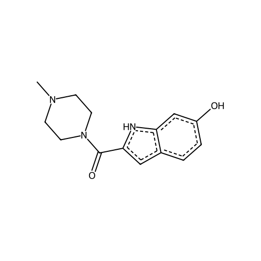 CN1CCN(C(=O)c2cc3ccc(O)cc3[nH]2)CC1